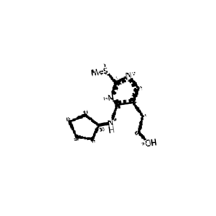 CSc1ncc(CCO)c(NC2CCCC2)n1